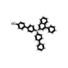 CC(C)(C)c1ccc(-c2ccc(N(c3ccc(-c4ccccc4)cc3)c3cc(-c4ccccc4)c4ccccc4c3)cc2)cc1